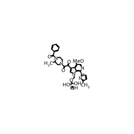 COc1cnc(-n2ccc(C)n2)c2c1c(C(=O)C(=O)N1CCN(C(=O)c3ccccc3)[C@H](C)C1)cn2CO[PH](O)(O)O